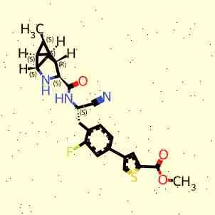 COC(=O)c1cc(-c2ccc(C[C@@H](C#N)NC(=O)[C@H]3N[C@H]4C[C@@H]3[C@@H]3[C@H](C)[C@@H]34)c(F)c2)cs1